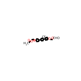 C=CC(=O)O/C=C\Oc1ccc(-c2ccc(-c3ccc(O/C=C\OC=O)cc3)c(C(F)(F)F)c2)cc1